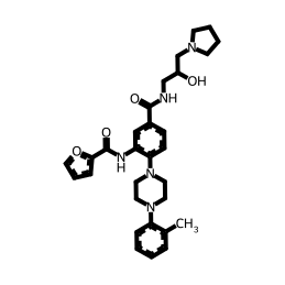 Cc1ccccc1N1CCN(c2ccc(C(=O)NCC(O)CN3CCCC3)cc2NC(=O)c2ccco2)CC1